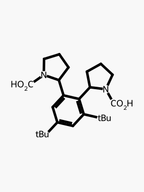 CC(C)(C)c1cc(C2CCCN2C(=O)O)c(C2CCCN2C(=O)O)c(C(C)(C)C)c1